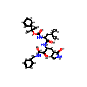 [2H]C([2H])(OC(=O)N[C@@H](CC(C)C)C(=O)N[C@@H](C[C@@H]1CCNC1=O)C(=O)C(=O)NCc1ccccc1)c1ccccc1